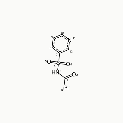 CC(C)C(=O)NS(=O)(=O)c1cccnc1